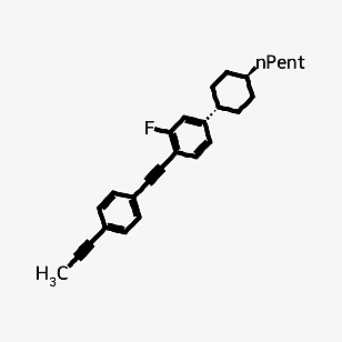 CC#Cc1ccc(C#Cc2ccc([C@H]3CC[C@H](CCCCC)CC3)cc2F)cc1